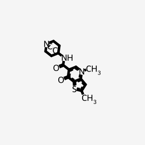 Cc1cc2c(s1)c(=O)c(C(=O)NC13CCN(CC1)CC3)cn2C